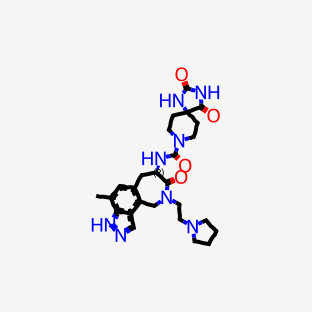 Cc1cc2c(c3cn[nH]c13)CN(CCN1CCCC1)C(=O)[C@H](NC(=O)N1CCC3(CC1)NC(=O)NC3=O)C2